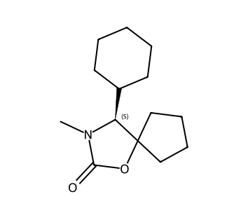 CN1C(=O)OC2(CCCC2)[C@@H]1C1CCCCC1